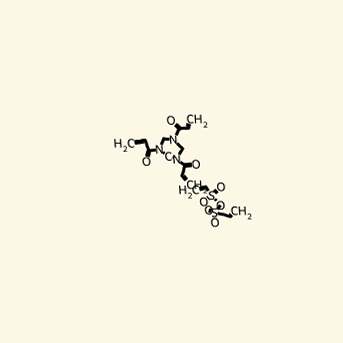 C=CC(=O)N1CN(C(=O)C=C)CN(C(=O)C=C)C1.C=CS(=O)(=O)OS(=O)(=O)C=C